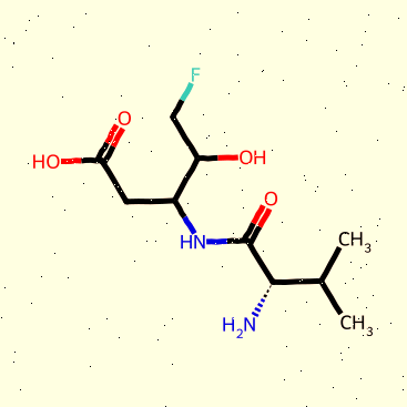 CC(C)[C@H](N)C(=O)NC(CC(=O)O)C(O)CF